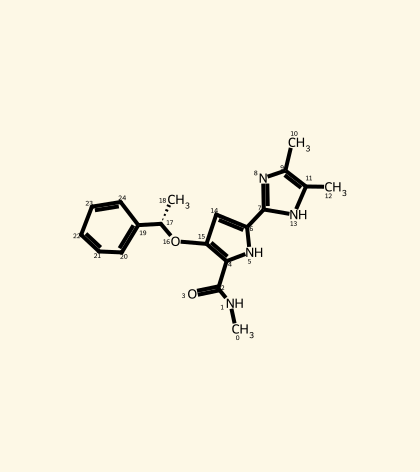 CNC(=O)c1[nH]c(-c2nc(C)c(C)[nH]2)cc1O[C@@H](C)c1ccccc1